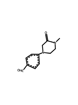 CN1CCN(c2ccc(C=O)cc2)CC1=O